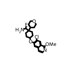 CCC(N)C1(C2CCOCC2)CCC(Oc2cc3ccnc(OC)c3cc2Cl)CC1